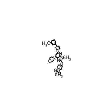 Cc1cccc(-c2ccn(-c3cc(N4CCOCC4)c4nc(CN5CCN(S(C)(=O)=O)CC5)n(C)c4n3)n2)c1